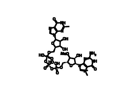 COC1[C@@H](COP(=O)(O)OP(=O)(O)OP(=O)(O)OC[C@H]2O[C@@H](n3cnc4c(=O)[nH]c(C)nc43)[C@@H](O)C2O)O[C@@H](n2c[n+](C)c3c(=O)[nH]c(N)nc32)[C@H]1O